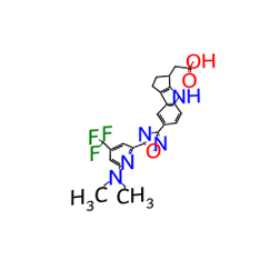 CCN(CC)c1cc(C(F)(F)F)cc(-c2nc(-c3ccc4[nH]c5c(c4c3)CCC5CC(=O)O)no2)n1